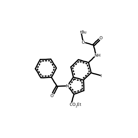 CCOC(=O)c1cc2c(I)c(NC(=O)OC(C)(C)C)ccc2n1C(=O)c1ccccc1